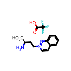 N[C@H](CC[n+]1ccc2ccccc2n1)C(=O)O.O=C(O)C(F)(F)F